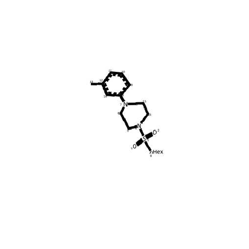 CCCCCCS(=O)(=O)N1CCN(c2cccc(C)c2)CC1